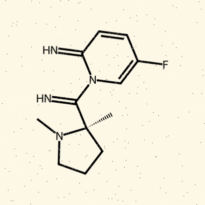 CN1CCC[C@]1(C)C(=N)n1cc(F)ccc1=N